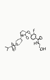 CC(C)c1nsc(N2CCC(N3CCC(Oc4ccc(C(=O)NCCO)cc4F)C3=O)CC2)n1